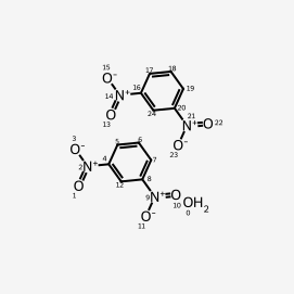 O.O=[N+]([O-])c1cccc([N+](=O)[O-])c1.O=[N+]([O-])c1cccc([N+](=O)[O-])c1